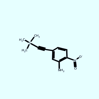 CS(C)(C)C#Cc1ccc([N+](=O)[O-])c(N)c1